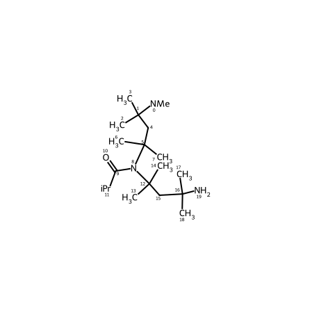 CNC(C)(C)CC(C)(C)N(C(=O)C(C)C)C(C)(C)CC(C)(C)N